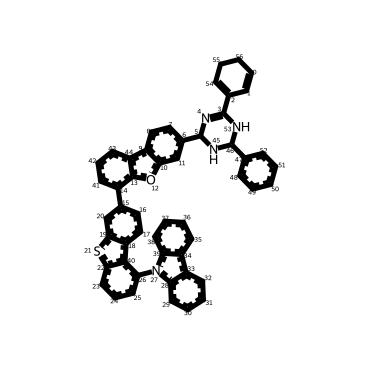 C1=CC(C2=NC(c3ccc4c(c3)oc3c(-c5ccc6c(c5)sc5cccc(-n7c8ccccc8c8ccccc87)c56)cccc34)NC(c3ccccc3)N2)=CCC1